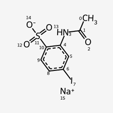 CC(=O)Nc1cc(I)ccc1S(=O)(=O)[O-].[Na+]